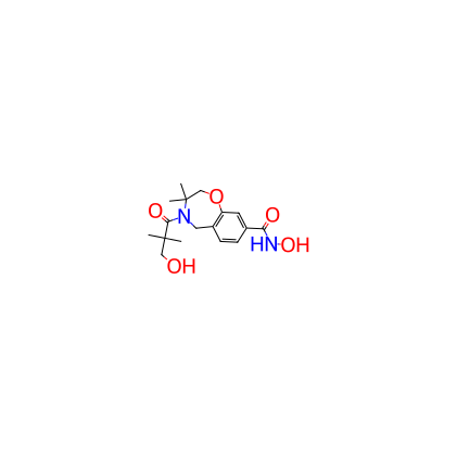 CC(C)(CO)C(=O)N1Cc2ccc(C(=O)NO)cc2OCC1(C)C